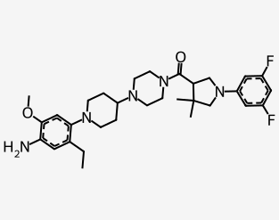 CCc1cc(N)c(OC)cc1N1CCC(N2CCN(C(=O)C3CN(c4cc(F)cc(F)c4)CC3(C)C)CC2)CC1